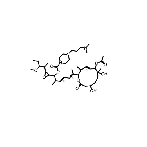 CCC(OC)C(C)C1OC1C(OC(=O)N1CCN(CCCN(C)C)CC1)C(C)/C=C/C=C(\C)C1OC(=O)CC(O)CCC(C)(O)C(OC(C)=O)/C=C/C1C